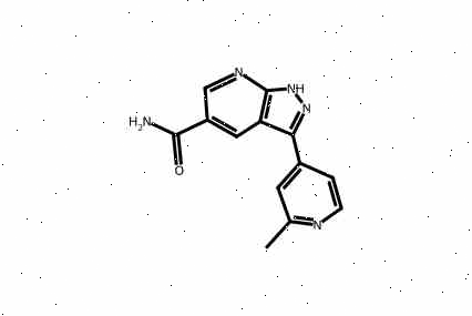 Cc1cc(-c2n[nH]c3ncc(C(N)=O)cc23)ccn1